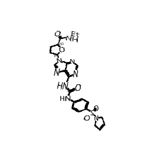 CCNC(=O)[C@@H]1CC[C@H](n2cnc3c(NC(=O)Nc4ccc(S(=O)(=O)N5CC=CC5)cc4)ncnc32)O1